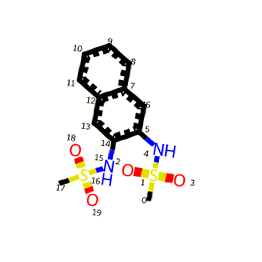 CS(=O)(=O)Nc1[c]c2ccccc2cc1NS(C)(=O)=O